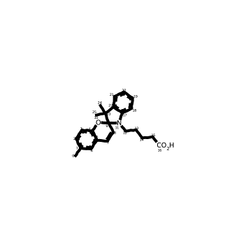 Cc1ccc2c(c1)C=CC1(O2)N(CCCCC(=O)O)c2ccccc2C1(C)C